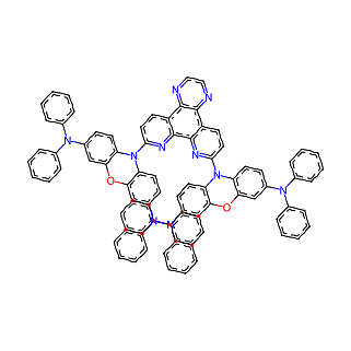 c1ccc(N(c2ccccc2)c2ccc3c(c2)Oc2cc(N(c4ccccc4)c4ccccc4)ccc2N3c2ccc3c4nccnc4c4ccc(N5c6ccc(N(c7ccccc7)c7ccccc7)cc6Oc6cc(N(c7ccccc7)c7ccccc7)ccc65)nc4c3n2)cc1